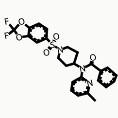 Cc1cccc(N(C(=O)c2ccccc2)C2CCN(S(=O)(=O)c3ccc4c(c3)OC(F)(F)O4)CC2)n1